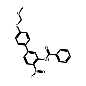 COCOc1ccc(-c2ccc([N+](=O)[O-])c(NC(=O)c3ccccc3)c2)cc1